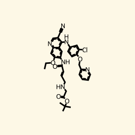 CCOc1cc2ncc(C#N)c(Nc3ccc(OCc4ccccn4)c(Cl)c3)c2cc1NC(=O)C=CCNCC(=O)OC(C)(C)C